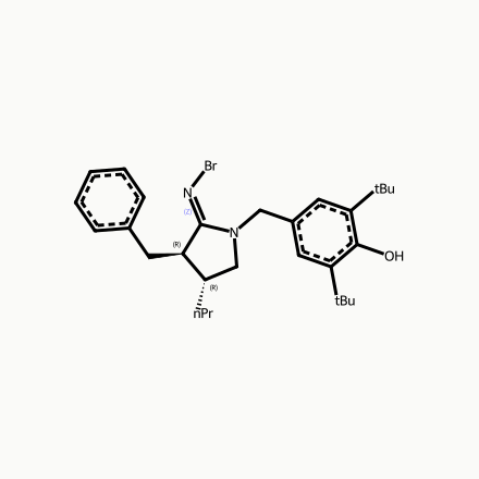 CCC[C@H]1CN(Cc2cc(C(C)(C)C)c(O)c(C(C)(C)C)c2)/C(=N\Br)[C@@H]1Cc1ccccc1